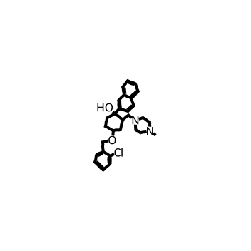 CN1CCN(CC2CC(OCc3ccccc3Cl)CCC2(O)c2ccc3ccccc3c2)CC1